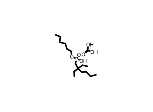 CCCCCCOP(=O)(O)CC(CC)(CC)CCCC.O=C(O)O